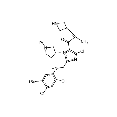 C/C(=C/C1CNC1)C(=O)c1c(Cl)nc(CNc2cc(C(C)(C)C)c(Cl)cc2O)n1[C@@H]1CCN(C(C)C)C1